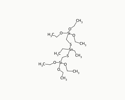 CCO[Si](C[S][Sn]([CH2]C)([CH2]C)[S]C[Si](OCC)(OCC)OCC)(OCC)OCC